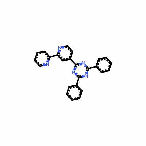 c1ccc(-c2nc(-c3ccccc3)nc(-c3ccnc(-c4ccccn4)c3)n2)cc1